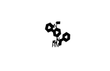 CCn1c2ccccc2c2cc(N3C(c4ccccc4)=CNN3C)ccc21